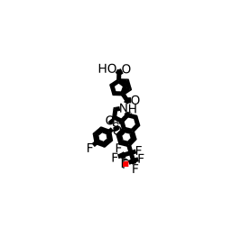 O=C(O)C12CCC(C(=O)N3CC[C@]4(S(=O)(=O)c5ccc(F)cc5)c5ccc(C(F)(C(F)(F)F)C(F)(F)F)cc5CC[C@H]34)(CC1)C2